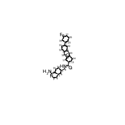 Nc1nccc2cc(CNC(=O)c3ccc4c(c3)C3OC4c4cc(-c5cccc(F)c5)ccc43)ccc12